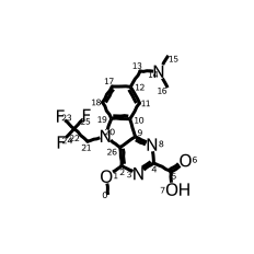 COc1nc(C(=O)O)nc2c3cc(CN(C)C)ccc3n(CC(F)(F)F)c12